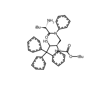 CC[C@H](C)[C@H](N)C(=O)N(C[C@@H](NC(=O)OC(C)(C)C)C(S)C(c1ccccc1)(c1ccccc1)c1ccccc1)c1ccccc1